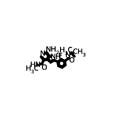 CNC(=O)c1cnc(N)c2[nH]c(-c3cccc(C4=NC(C)(C)CO4)c3F)cc12